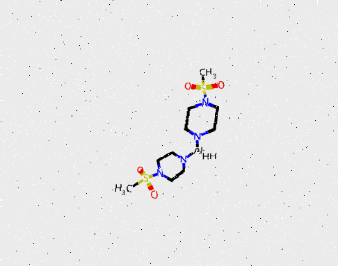 CS(=O)(=O)N1CC[N]([Al][N]2CCN(S(C)(=O)=O)CC2)CC1.[HH]